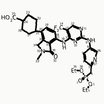 CCOP(=O)(Cc1ccc(Nc2ncc(C(F)(F)F)c(Nc3ccc(C4CCC(C(=O)O)CC4)c4c3C(=O)N(C)C4)n2)cn1)OCC